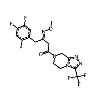 CO/N=C(\CC(=O)N1CCn2c(nnc2C(F)(F)F)C1)Cc1cc(F)c(F)cc1F